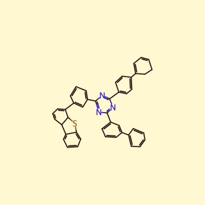 C1=CCCC(c2ccc(-c3nc(-c4cccc(C5=CC=CC6c7ccccc7SC56)c4)nc(-c4cccc(-c5ccccc5)c4)n3)cc2)=C1